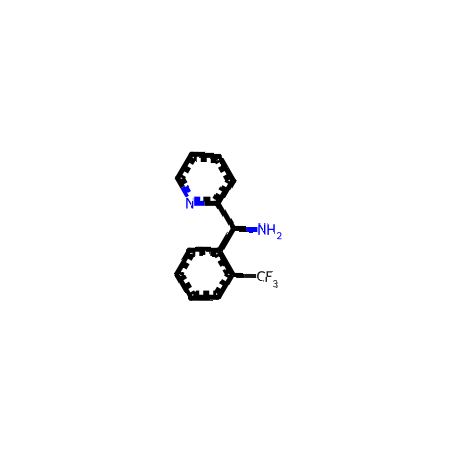 NC(c1ccccn1)c1ccccc1C(F)(F)F